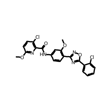 COc1ccc(Cl)c(C(=O)Nc2ccc(-c3noc(-c4ccccc4Cl)n3)c(OC)c2)n1